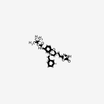 CC(C)(C)OC(=O)Nc1ccc2c(c1)N(Cc1ccccc1)C[C@H](CCc1n[nH]c(=O)o1)O2